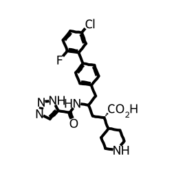 O=C(NC(Cc1ccc(-c2cc(Cl)ccc2F)cc1)C[C@H](C(=O)O)C1CCNCC1)c1cnn[nH]1